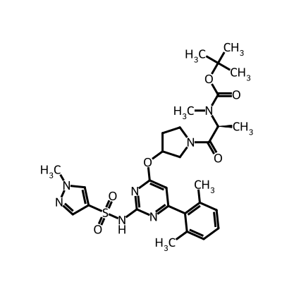 Cc1cccc(C)c1-c1cc(OC2CCN(C(=O)[C@H](C)N(C)C(=O)OC(C)(C)C)C2)nc(NS(=O)(=O)c2cnn(C)c2)n1